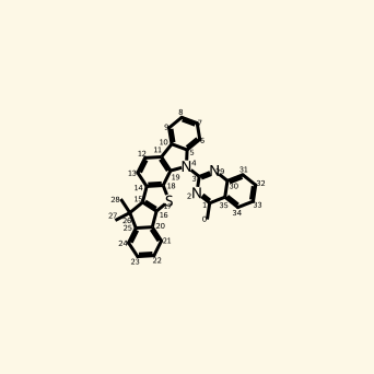 Cc1nc(-n2c3ccccc3c3ccc4c5c(sc4c32)-c2ccccc2C5(C)C)nc2ccccc12